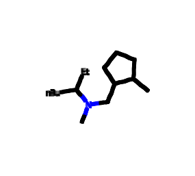 CCCCC(CC)N(C)CC1CCCC1C